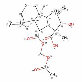 C=C[C@H](O)[C@@](C)(C(=O)O)C1C(C)[C@@H]2CCC3C[C@]2(CC3=C)[C@H]1C(=O)OCOC(C)=O